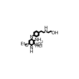 CCOC1=CC(=Nc2ccc(CCNCCO)cc2)C(N)=CC1=N.Cl.Cl